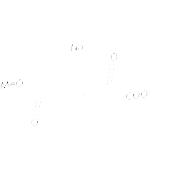 COC(=O)/C=C/C(=O)C(=O)[O-].[Na+]